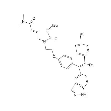 CC/C(=C(/c1ccc(OCCN(C/C=C/C(=O)N(C)C)C(=O)OC(C)(C)C)cc1)c1ccc2[nH]ncc2c1)c1ccc(C(C)C)cc1